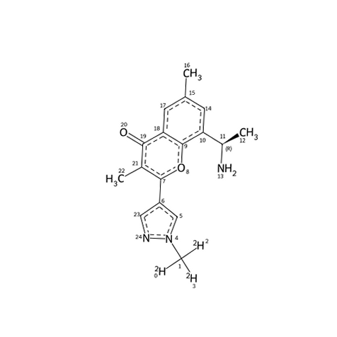 [2H]C([2H])([2H])n1cc(-c2oc3c([C@@H](C)N)cc(C)cc3c(=O)c2C)cn1